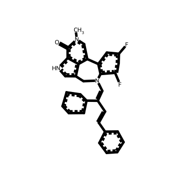 Cn1cc2c3c(c[nH]c3c1=O)CN(/C=C(/C=C/c1ccccc1)c1ccccc1)c1c(F)cc(F)cc1-2